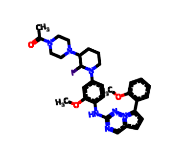 COc1cc(N2CCCC(N3CCN(C(C)=O)CC3)C2I)ccc1Nc1ncc2ccc(-c3ccccc3OC)n2n1